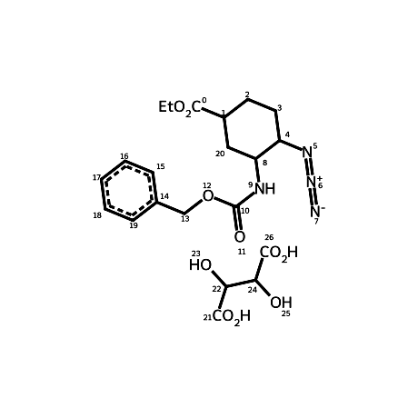 CCOC(=O)C1CCC(N=[N+]=[N-])C(NC(=O)OCc2ccccc2)C1.O=C(O)C(O)C(O)C(=O)O